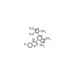 Cc1nn(C)c(C)c1-c1cc(C(=O)Nc2cc(F)ccc2F)c2c(C)nn(C)c2n1